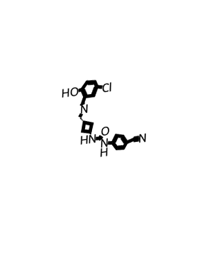 N#Cc1ccc(NC(=O)N[C@H]2C[C@@H](CN=Cc3cc(Cl)ccc3O)C2)cc1